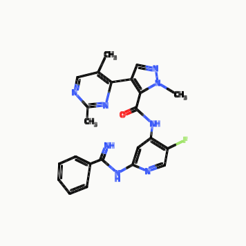 Cc1ncc(C)c(-c2cnn(C)c2C(=O)Nc2cc(NC(=N)c3ccccc3)ncc2F)n1